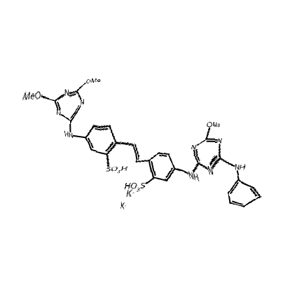 COc1nc(Nc2ccccc2)nc(Nc2ccc(C=Cc3ccc(Nc4nc(OC)nc(OC)n4)cc3S(=O)(=O)O)c(S(=O)(=O)O)c2)n1.[K].[K]